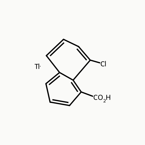 O=C(O)c1cccc2cccc(Cl)c12.[Tl]